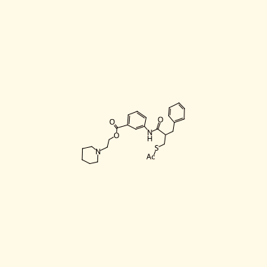 CC(=O)SCC(Cc1ccccc1)C(=O)Nc1cccc(C(=O)OCCN2CCCCC2)c1